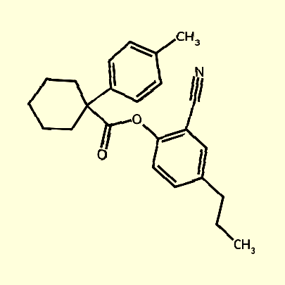 CCCc1ccc(OC(=O)C2(c3ccc(C)cc3)CCCCC2)c(C#N)c1